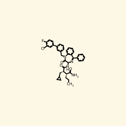 CCC[C@H](C(N)=O)[C@@H](CC1CC1)C(=O)NC1N=C(c2ccccc2)c2ccccc2N(Cc2cccc(-c3ccc(F)c(Cl)c3)c2)C1=O